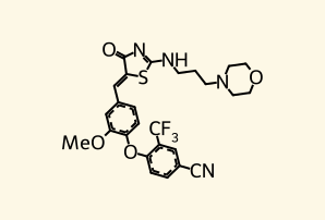 COc1cc(/C=C2\SC(NCCCN3CCOCC3)=NC2=O)ccc1Oc1ccc(C#N)cc1C(F)(F)F